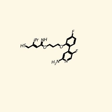 CC(C)/C(=C\C(=N)OCCCOc1cc(F)ccc1-c1cc(N)ncc1F)CS